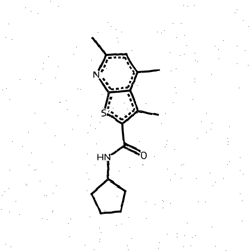 Cc1cc(C)c2c(C)c(C(=O)NC3CCCC3)sc2n1